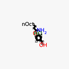 CCCCCCCCCCC(N)Oc1ccc(CO)cc1.Cl